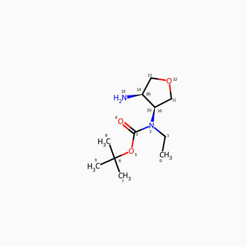 CCN(C(=O)OC(C)(C)C)[C@@H]1COC[C@@H]1N